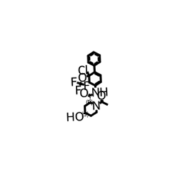 CC(=O)N1CC[C@H](O)C[C@@H]1C(=O)NC1=CC=C(c2ccccc2)C(Cl)(OC(F)(F)F)C1